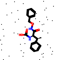 C[C@H](c1ccccc1)[C@H](NC(=O)O)C(=O)NOCc1ccccc1